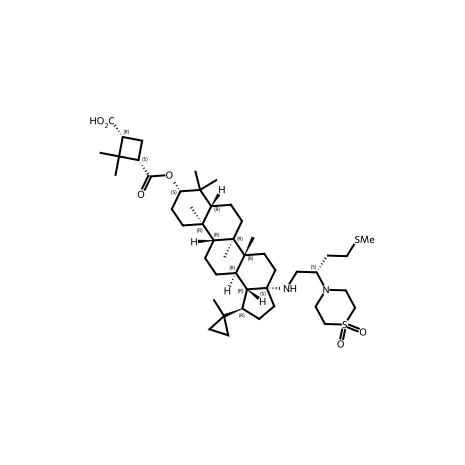 CSCC[C@@H](CN[C@]12CC[C@@H](C3(C)CC3)[C@@H]1[C@H]1CC[C@@H]3[C@@]4(C)CC[C@H](OC(=O)[C@H]5C[C@@H](C(=O)O)C5(C)C)C(C)(C)[C@@H]4CC[C@@]3(C)[C@]1(C)CC2)N1CCS(=O)(=O)CC1